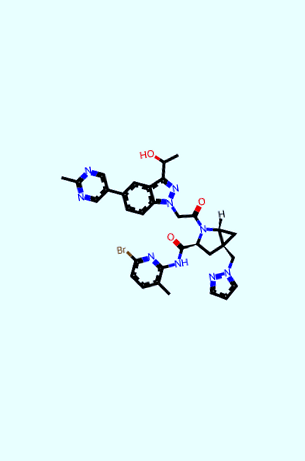 Cc1ncc(-c2ccc3c(c2)c(C(C)O)nn3CC(=O)N2[C@H](C(=O)Nc3nc(Br)ccc3C)C[C@@]3(Cn4cccn4)C[C@@H]23)cn1